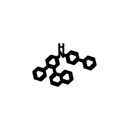 c1ccc(-c2ccc(Nc3ccc(-c4ccccc4)c(-c4cccc5ccccc45)c3)cc2)cc1